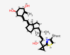 C=C1/C(=C\C=C2/CCC[C@]3(C)[C@@H]([C@H](C)/C=C/[C@@H](O)C4(c5nc(CCCCC)cs5)CC4)CC[C@@H]23)C[C@@H](O)C[C@@H]1O